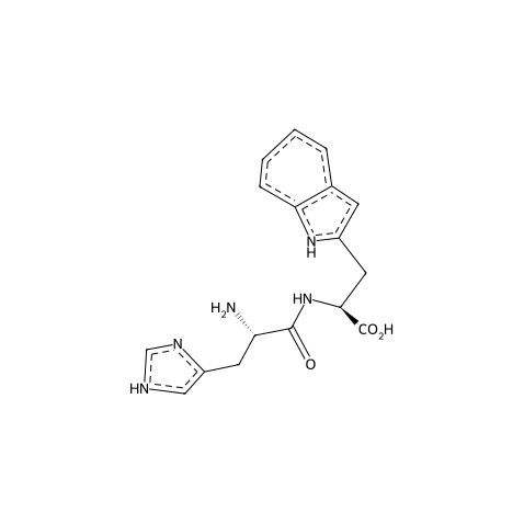 N[C@@H](Cc1c[nH]cn1)C(=O)N[C@@H](Cc1cc2ccccc2[nH]1)C(=O)O